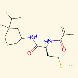 C=C(C)C(=O)N[C@@H](CCSC)C(=O)NC1CCCC(C)(C(C)C)C1